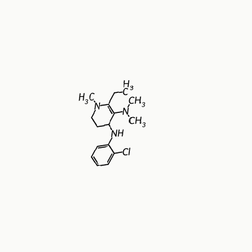 CCC1=C(N(C)C)C(Nc2ccccc2Cl)CCN1C